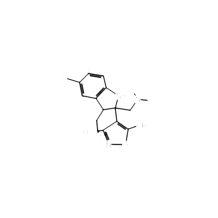 Cc1noc(C)c1C1(CN(C)C)Nc2ccc(F)cc2C1CO